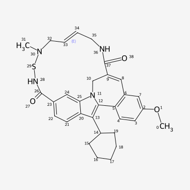 COc1ccc2c(c1)C=C1Cn3c-2c(C2CCCCC2)c2ccc(cc23)C(=O)NSN(C)C/C=C/CNC1=O